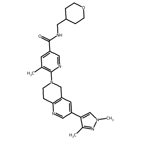 Cc1cc(C(=O)NCC2CCOCC2)cnc1N1CCc2ncc(-c3cn(C)nc3C)cc2C1